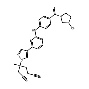 C[C@](CC#N)(CCC#N)n1cc(-c2ccnc(Nc3ccc(C(=O)N4CCC(O)C4)cc3)n2)cn1